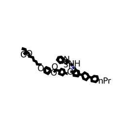 C=CC(=O)OCCCCCCOc1ccc(OC(=O)C2CCC(COc3ccc(C4CCC(C5CCC(CCC)CC5)CC4)cc3/C=N/Nc3nc4ccccc4s3)CC2)cc1